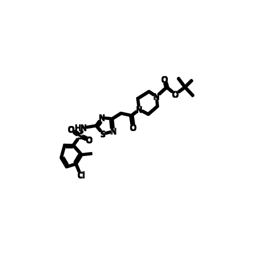 Cc1c(Cl)cccc1S(=O)(=O)Nc1nc(CC(=O)N2CCN(C(=O)OC(C)(C)C)CC2)ns1